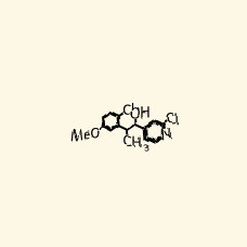 COc1ccc(Cl)c(C(C)C(O)c2ccnc(Cl)c2)c1